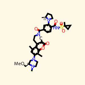 COC[C@H]1CN(c2cc(C)c3c4c(c(=O)oc3c2C)CN(C(=O)c2ccc(C(=O)NS(=O)(=O)C3(C)CC3)c(N3CCC[C@@H]3C)c2)CC4)CCN1C